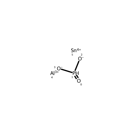 O=[PH]([O-])[O-].[Al+3].[Sn+4]